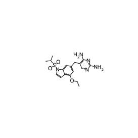 CCOc1cc(Cc2cnc(N)nc2N)cc2c1ccn2S(=O)(=O)C(C)C